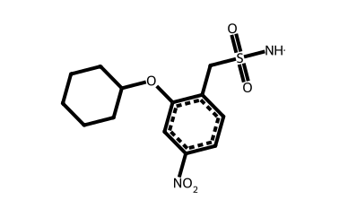 [NH]S(=O)(=O)Cc1ccc([N+](=O)[O-])cc1OC1CCCCC1